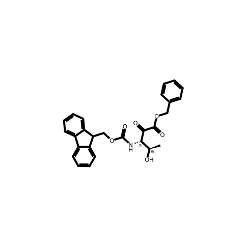 C[C@@H](O)[C@H](NC(=O)OCC1c2ccccc2-c2ccccc21)C(=O)C(=O)OCc1ccccc1